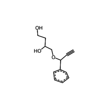 C#CC(OCC(O)CCO)c1ccccc1